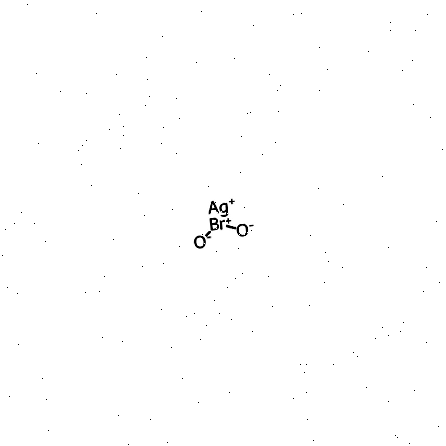 [Ag+].[O-][Br+][O-]